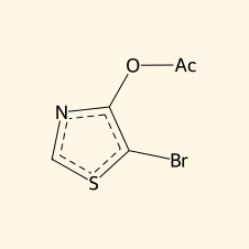 CC(=O)Oc1ncsc1Br